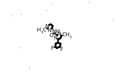 Cc1cc(-c2cc(F)cc(F)c2)nc(C(=O)Nc2ccnc(C)n2)n1